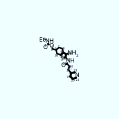 CCNC(=O)OCC1CCc2c(sc(NC(=O)/C=C/c3cccnc3)c2N)C1